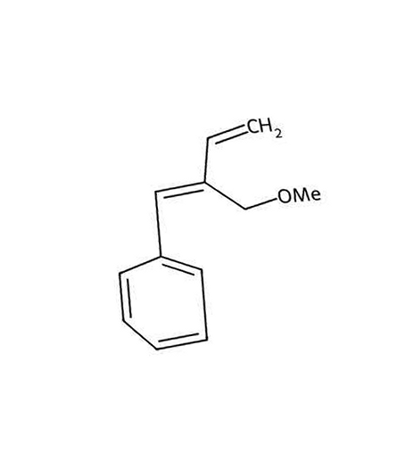 C=CC(=Cc1ccccc1)COC